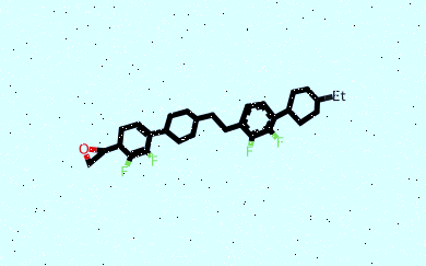 CCC1CCC(c2ccc(CCC3CCC(C4=CCC(C5CO5)C(F)=C4F)CC3)c(F)c2F)CC1